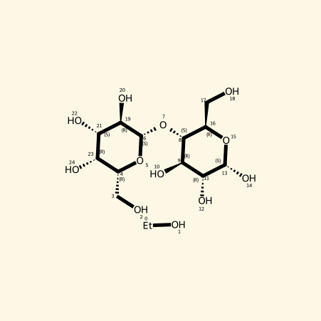 CCO.OC[C@H]1O[C@@H](O[C@H]2[C@H](O)[C@@H](O)[C@@H](O)O[C@@H]2CO)[C@H](O)[C@@H](O)[C@H]1O